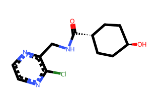 O=C(NCc1nccnc1Cl)[C@H]1CC[C@H](O)CC1